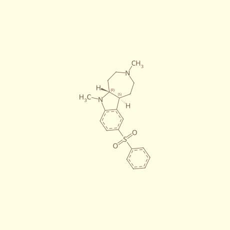 CN1CC[C@@H]2[C@@H](CC1)c1cc(S(=O)(=O)c3ccccc3)ccc1N2C